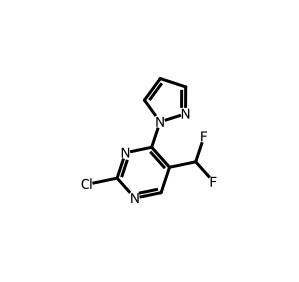 FC(F)c1cnc(Cl)nc1-n1cccn1